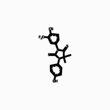 CC1(C)C(=S)N(c2ccc(C#N)c(C(F)(F)F)c2)C(=S)N1c1ccc(O)cc1